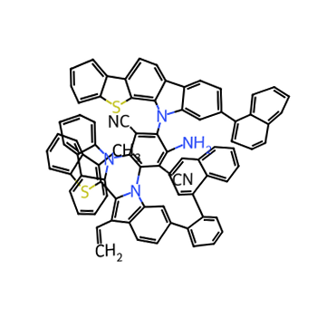 C=Cc1c(-c2sc3ccccc3c2C)n(-c2c(C#N)c(N)c(-n3c4cc(-c5cccc6ccccc56)ccc4c4ccc5c6ccccc6sc5c43)c(C#N)c2-n2c3ccccc3c3ccccc32)c2cc(-c3ccccc3-c3cccc4ccccc34)ccc12